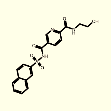 O=C(NS(=O)(=O)c1ccc2ccccc2c1)c1ccc(C(=O)NCCO)nc1